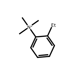 CCc1ccccc1[N+](C)(C)C